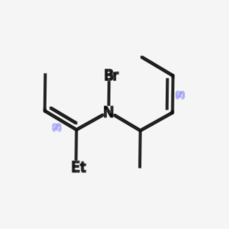 C/C=C\C(C)N(Br)/C(=C\C)CC